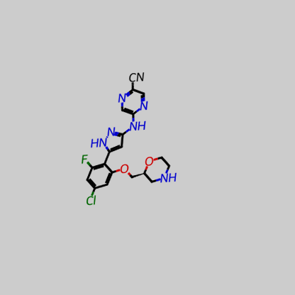 N#Cc1cnc(Nc2cc(-c3c(F)cc(Cl)cc3OC[C@@H]3CNCCO3)[nH]n2)cn1